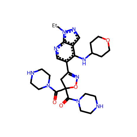 CCn1ncc2c(NC3CCOCC3)c(C3=NOC(C(=O)N4CCNCC4)(C(=O)N4CCNCC4)C3)cnc21